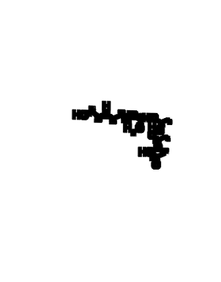 CC(=O)O.CC(=O)O.CC(=O)O.CC(=O)O.NCCNCCO